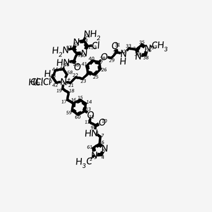 Cl.Cl.Cn1cnc(CNC(=O)COc2ccc(CCC[N+]3(CCCc4ccc(OCC(=O)NCc5cn(C)cn5)cc4)CCC[C@H](NC(=O)c4nc(Cl)c(N)nc4N)C3)cc2)c1.[Cl-]